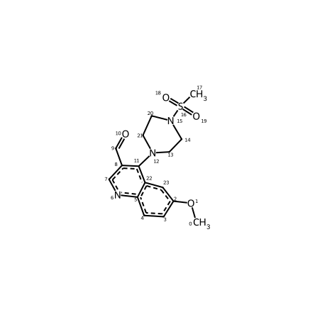 COc1ccc2ncc(C=O)c(N3CCN(S(C)(=O)=O)CC3)c2c1